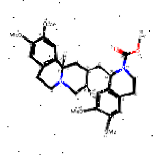 CC[C@H]1CN2CCc3cc(OC)c(OC)cc3[C@@H]2C[C@H]1C[C@@H]1c2cc(OC)c(OC)cc2CCN1C(=O)OC(C)C